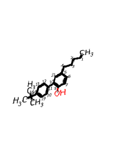 CCCCCc1ccc(O)c(-c2ccc(C(C)(C)C)cc2)c1